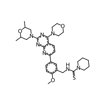 COc1ccc(-c2ccc3c(N4CCOCC4)nc(N4CC(C)OC(C)C4)nc3n2)cc1CNC(=S)N1CCCCC1